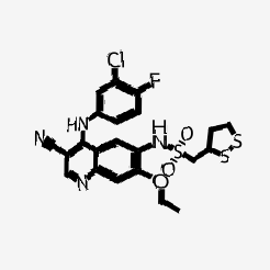 CCOc1cc2ncc(C#N)c(Nc3ccc(F)c(Cl)c3)c2cc1NS(=O)(=O)CC1CCSS1